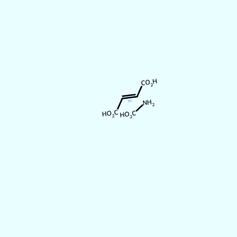 NC(=O)O.O=C(O)/C=C/C(=O)O